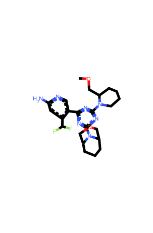 COCC1CCCCN1c1nc(-c2cnc(N)cc2C(F)F)nc(N2C3CCCC2COC3)n1